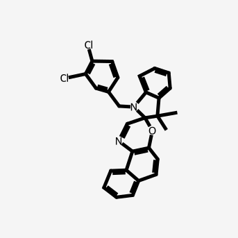 CC1(C)c2ccccc2N(Cc2ccc(Cl)c(Cl)c2)C12C=Nc1c(ccc3ccccc13)O2